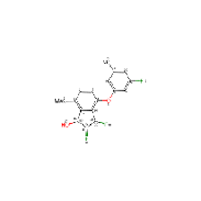 CSc1ccc(Oc2cc(F)cc(C#N)c2)c2c1[C@H](O)[C@H](F)[C@@H]2F